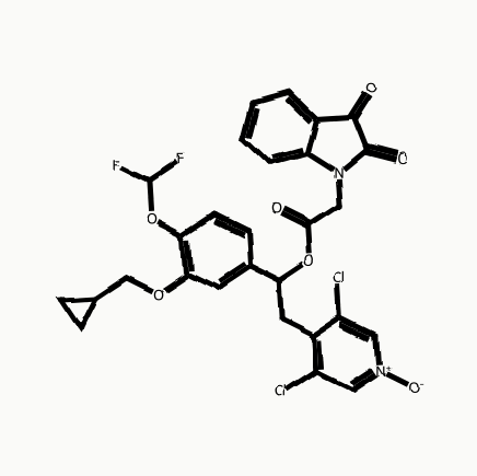 O=C(CN1C(=O)C(=O)c2ccccc21)OC(Cc1c(Cl)c[n+]([O-])cc1Cl)c1ccc(OC(F)F)c(OCC2CC2)c1